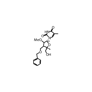 COC1C(COCc2ccccc2)[C@@](C)(CO)O[C@H]1n1cc(C)c(=O)[nH]c1=O